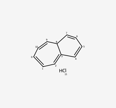 C1=CC=C2C=CC=CC2C=C1.Cl